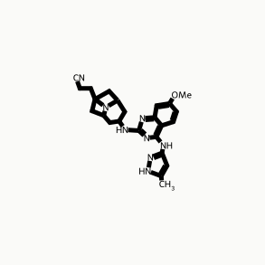 COc1ccc2c(Nc3cc(C)[nH]n3)nc(NC3CC4CC5(CCC#N)CC(C3)N45)nc2c1